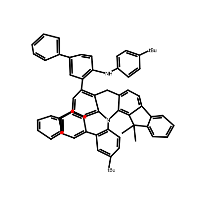 CC(C)(C)c1ccc(Nc2ccc(-c3ccccc3)cc2-c2cc(-c3ccccc3)cc3c2Cc2ccc4c(c2N3c2ccc(C(C)(C)C)cc2-c2ccccc2)C(C)(C)c2ccccc2-4)cc1